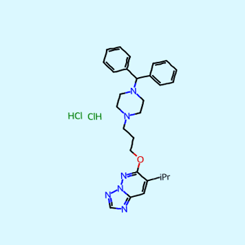 CC(C)c1cc2ncnn2nc1OCCCN1CCN(C(c2ccccc2)c2ccccc2)CC1.Cl.Cl